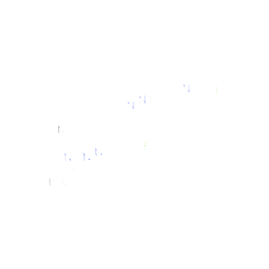 Cc1cn2nc(-c3cc(F)c4cc(C5CCN(CCF)CC5)nnc4c3)cc(C#N)c2n1